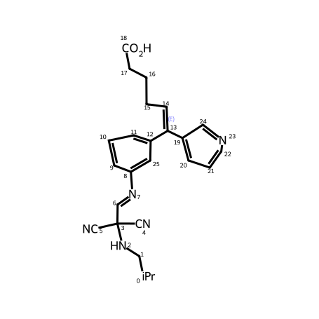 CC(C)CNC(C#N)(C#N)C=Nc1cccc(/C(=C\CCCC(=O)O)c2cccnc2)c1